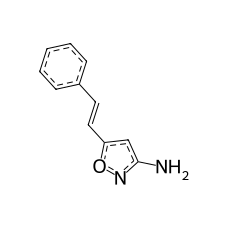 Nc1cc(C=Cc2ccccc2)on1